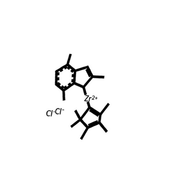 CC1=Cc2c(C)ccc(C)c2[CH]1[Zr+2][C]1=C(C)C(C)=C(C)C1(C)C.[Cl-].[Cl-]